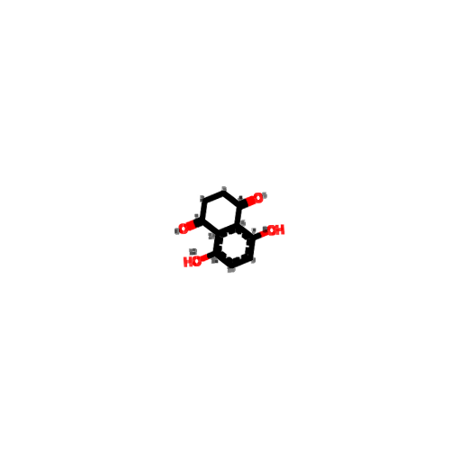 O=C1CCC(=O)c2c(O)ccc(O)c21